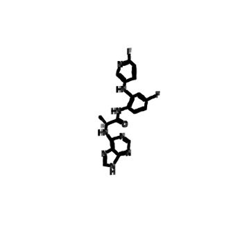 C[C@H](Nc1ncnc2[nH]cnc12)C(=O)Nc1ccc(F)cc1Nc1ccc(F)nc1